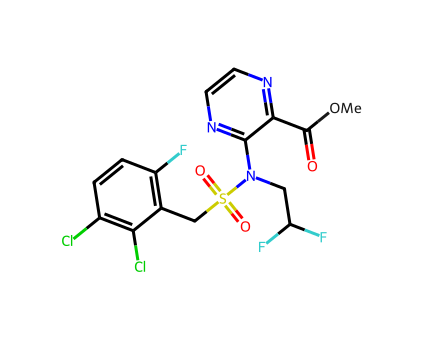 COC(=O)c1nccnc1N(CC(F)F)S(=O)(=O)Cc1c(F)ccc(Cl)c1Cl